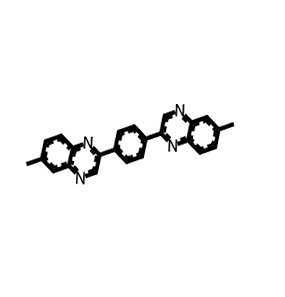 Cc1ccc2nc(-c3ccc(-c4cnc5cc(C)ccc5n4)cc3)cnc2c1